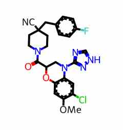 COc1cc2c(cc1Cl)N(c1nc[nH]n1)CC(C(=O)N1CCC(C#N)(Cc3ccc(F)cc3)CC1)O2